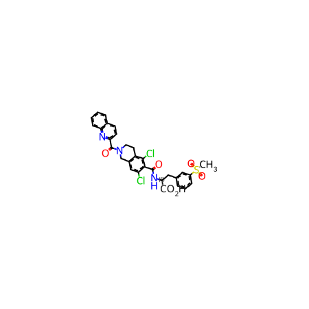 CS(=O)(=O)c1cccc(C[C@H](NC(=O)c2c(Cl)cc3c(c2Cl)CCN(C(=O)c2ccc4ccccc4n2)C3)C(=O)O)c1